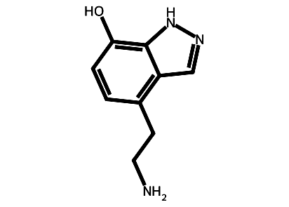 NCCc1ccc(O)c2[nH]ncc12